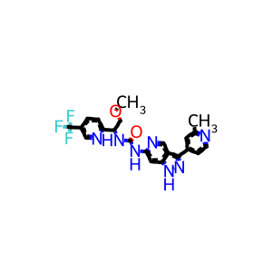 COCC(NC(=O)Nc1cc2[nH]nc(-c3ccnc(C)c3)c2cn1)c1ccc(C(F)(F)F)cn1